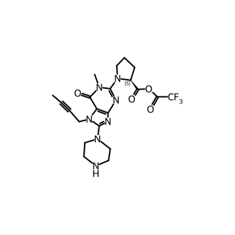 CC#CCn1c(N2CCNCC2)nc2nc(N3CCC[C@H]3C(=O)OC(=O)C(F)(F)F)n(C)c(=O)c21